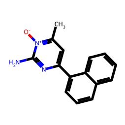 Cc1cc(-c2cccc3ccccc23)nc(N)[n+]1[O-]